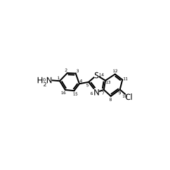 Nc1ccc(-c2nc3cc(Cl)ccc3s2)cc1